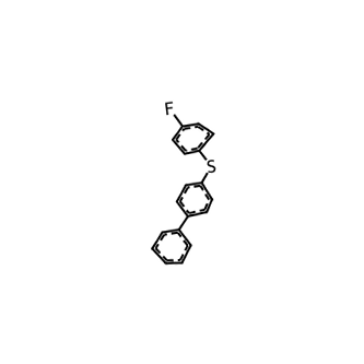 Fc1ccc(Sc2ccc(-c3ccccc3)cc2)cc1